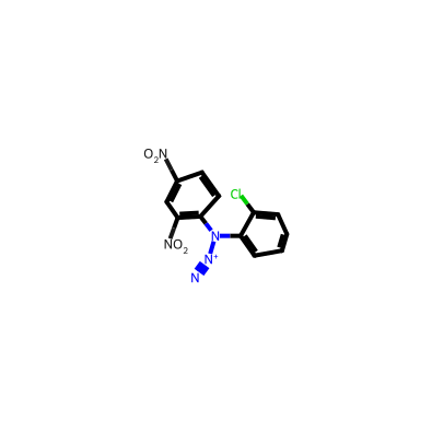 N#[N+]N(c1ccccc1Cl)c1ccc([N+](=O)[O-])cc1[N+](=O)[O-]